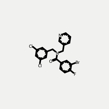 O=C(c1ccc(F)c(Br)c1)N(Cc1cccnc1)Cc1cc(Cl)cc(Cl)c1